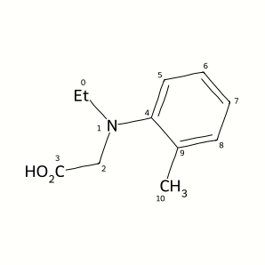 CCN(CC(=O)O)c1ccccc1C